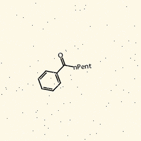 CCCCCC(=O)c1ccccc1